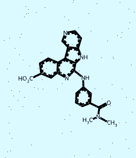 CN(C)C(=O)c1cccc(Nc2nc3cc(C(=O)O)ccc3c3c2[nH]c2ccncc23)c1